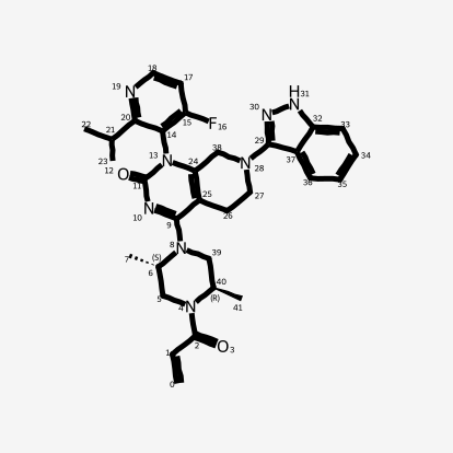 C=CC(=O)N1C[C@H](C)N(c2nc(=O)n(-c3c(F)ccnc3C(C)C)c3c2CCN(c2n[nH]c4ccccc24)C3)C[C@H]1C